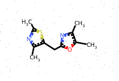 Cc1nc(C)c(Cc2nc(C)c(C)o2)s1